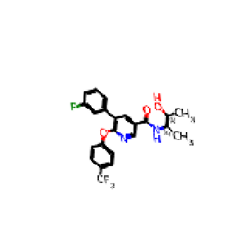 C[C@H](O)[C@@H](C)NC(=O)c1cnc(Oc2ccc(C(F)(F)F)cc2)c(-c2cccc(F)c2)c1